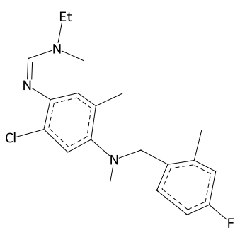 CCN(C)/C=N\c1cc(C)c(N(C)Cc2ccc(F)cc2C)cc1Cl